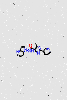 Cc1nc(-c2cccnc2)ncc1C(=O)Nn1ccc2ncccc21